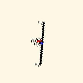 CCCCCCCCCCCCCCCCCCN(CCCCCCCCCCCCCCCCCC)C(C)C(=O)OC(C)(C)C